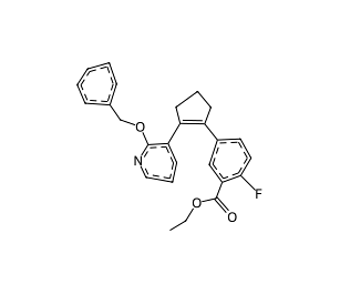 CCOC(=O)c1cc(C2=C(c3cccnc3OCc3ccccc3)CCC2)ccc1F